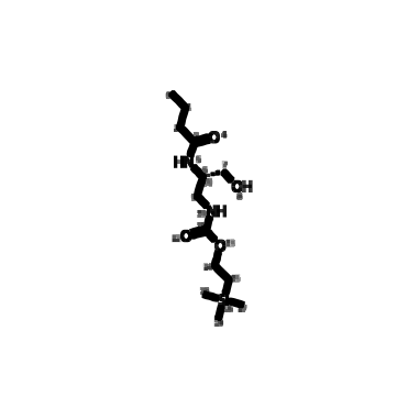 CCCC(=O)N[C@H](CO)CNC(=O)OCC[Si](C)(C)C